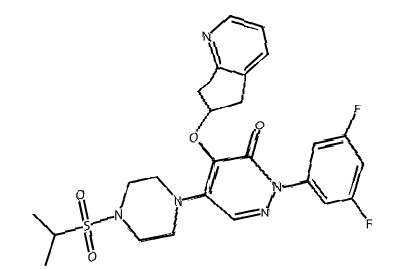 CC(C)S(=O)(=O)N1CCN(c2cnn(-c3cc(F)cc(F)c3)c(=O)c2OC2Cc3cccnc3C2)CC1